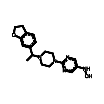 CC(c1ccc2c(c1)OCC2)N1CCN(c2ncc(NO)cn2)CC1